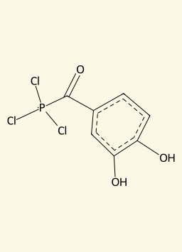 O=C(c1ccc(O)c(O)c1)[P](Cl)(Cl)Cl